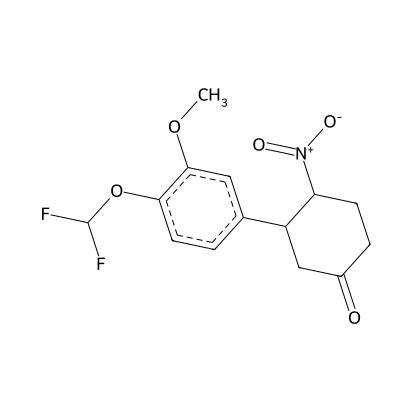 COc1cc(C2CC(=O)CCC2[N+](=O)[O-])ccc1OC(F)F